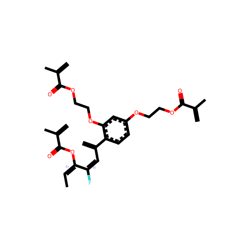 C=C(C)C(=O)OCCOc1ccc(C(=C)/C=C(F)\C(=C/C)OC(=O)C(=C)C)c(OCCOC(=O)C(=C)C)c1